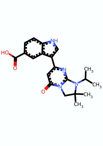 CC(C)N1c2nc(-c3c[nH]c4ccc(C(=O)O)cc34)cc(=O)n2CC1(C)C